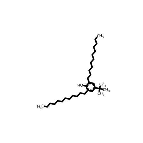 CCCCCCCCCCCCc1cc(C(C)(C)C)cc(CCCCCCCCCCCC)c1O